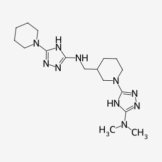 CN(C)c1nnc(N2CCCC(CNc3nnc(N4CCCCC4)[nH]3)C2)[nH]1